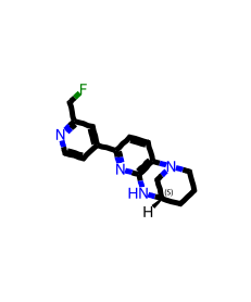 FCc1cc(-c2ccc3c(n2)N[C@H]2CCCN3C2)ccn1